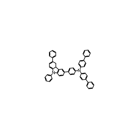 C1=C(c2ccccc2)CC2C(=C1)N(c1ccccc1)c1ccc(-c3ccc(N(c4ccc(-c5ccccc5)cc4)c4ccc(-c5ccccc5)cc4)cc3)cc12